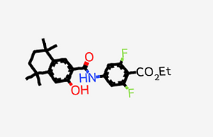 CCOC(=O)c1c(F)cc(NC(=O)c2cc3c(cc2O)C(C)(C)CCC3(C)C)cc1F